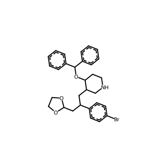 Brc1ccc(C(CC2OCCO2)CC2CNCCC2OC(c2ccccc2)c2ccccc2)cc1